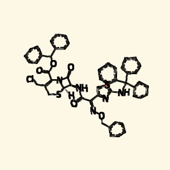 O=C(OC(c1ccccc1)c1ccccc1)C1=C(CCl)CS[C@@H]2[C@H](NC(=O)/C(=N/OCc3ccccc3)c3csc(NC(c4ccccc4)(c4ccccc4)c4ccccc4)n3)C(=O)N12